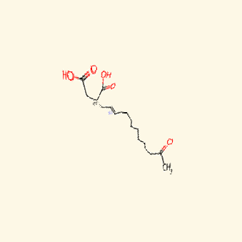 CC(=O)CCCCCC/C=C/C[C@H](CC(=O)O)C(=O)O